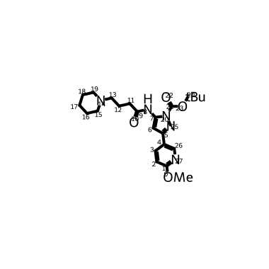 COc1ccc(-c2cc(NC(=O)CCCN3CCCCC3)n(C(=O)OC(C)(C)C)n2)cn1